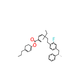 C=C(/C=C\C(C)(CC)CCc1ccc(C[C@H](C)c2ccccc2)cc1F)C(=O)OC1=CC=C(CCC)CC1